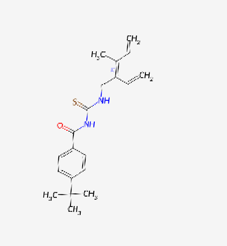 C=C/C(C)=C(\C=C)CNC(=S)NC(=O)c1ccc(C(C)(C)C)cc1